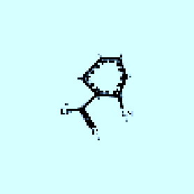 CCC(=O)c1ccccc1C#N